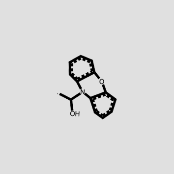 [CH2]C(O)N1c2ccccc2Oc2ccccc21